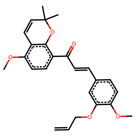 C=CCOc1cc(C=CC(=O)c2ccc(OC)c3c2OC(C)(C)C=C3)ccc1OC